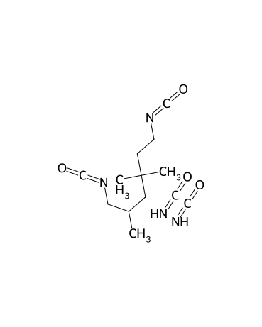 CC(CN=C=O)CC(C)(C)CCN=C=O.N=C=O.N=C=O